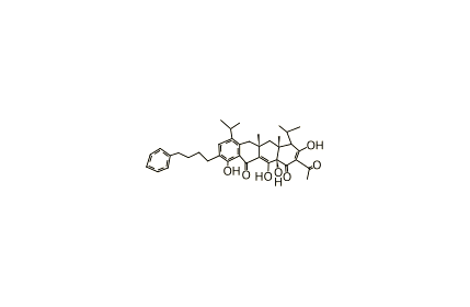 CC(=O)C1=C(O)C(C(C)C)[C@@]2(C)C[C@@]3(C)Cc4c(C(C)C)cc(CCCCc5ccccc5)c(O)c4C(=O)C3=C(O)[C@@]2(O)C1=O